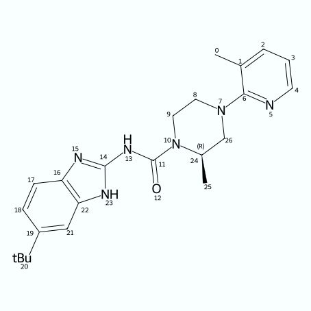 Cc1cccnc1N1CCN(C(=O)Nc2nc3ccc(C(C)(C)C)cc3[nH]2)[C@H](C)C1